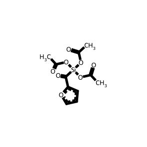 CC(=O)O[Si](OC(C)=O)(OC(C)=O)C(=O)c1ccco1